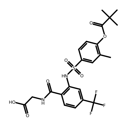 Cc1cc(S(=O)(=O)Nc2cc(C(F)(F)F)ccc2C(=O)NCC(=O)O)ccc1OC(=O)C(C)(C)C